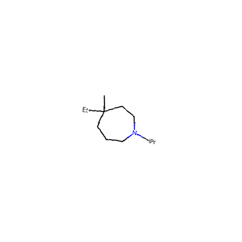 CCC1(C)CCCN(C(C)C)CC1